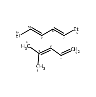 C=CC=C(C)C.CC/C=C/C=C/CC